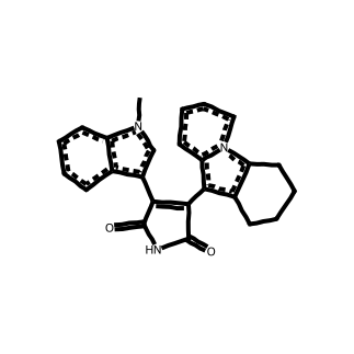 Cn1cc(C2=C(c3c4c(n5ccccc35)CCCC4)C(=O)NC2=O)c2ccccc21